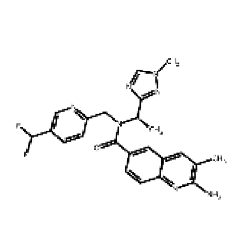 Cc1cc2cc(C(=O)N(Cc3ccc(C(F)F)cn3)[C@H](C)c3ncn(C)n3)ccc2nc1N